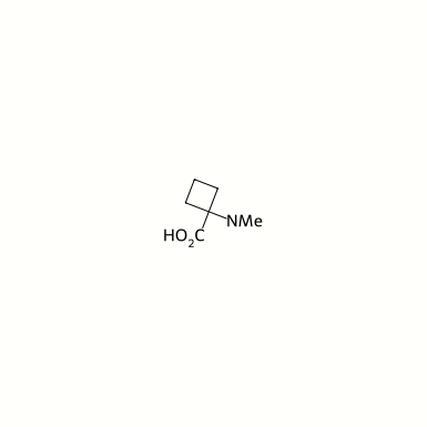 CNC1(C(=O)O)CCC1